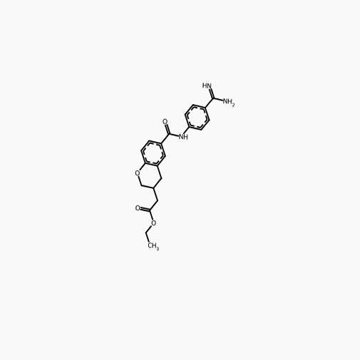 CCOC(=O)CC1COc2ccc(C(=O)Nc3ccc(C(=N)N)cc3)cc2C1